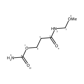 COCNC(=O)CCOC(N)=O